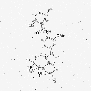 COc1cc(C(=O)N2CCC(F)(F)C(C)(O)c3cc(Cl)ccc32)ccc1NC(=O)c1cc(F)ccc1Cl